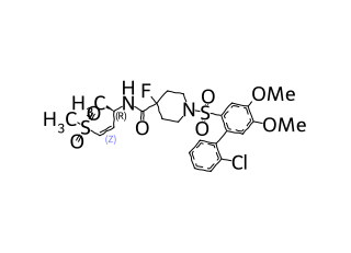 COc1cc(-c2ccccc2Cl)c(S(=O)(=O)N2CCC(F)(C(=O)N[C@H](C)/C=C\S(C)(=O)=O)CC2)cc1OC